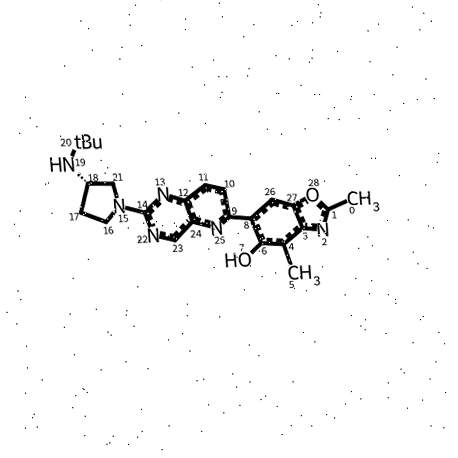 Cc1nc2c(C)c(O)c(-c3ccc4nc(N5CC[C@H](NC(C)(C)C)C5)ncc4n3)cc2o1